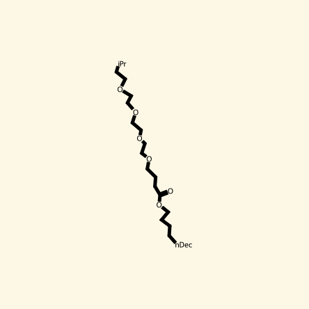 CCCCCCCCCCCCCCOC(=O)CCCOCCOCCOCCOCCC(C)C